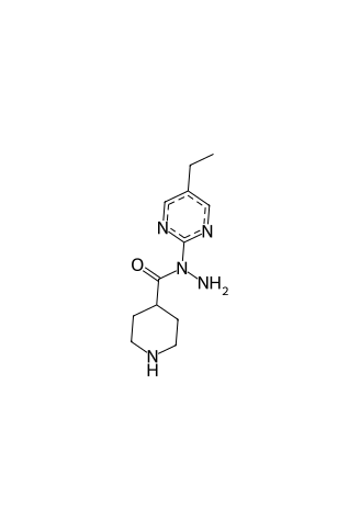 CCc1cnc(N(N)C(=O)C2CCNCC2)nc1